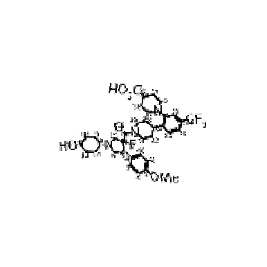 COc1ccc([C@@H]2CN([C@H]3CC[C@@H](O)CC3)C[C@@]2(F)C(=O)N2CCC(c3ccc(C(F)(F)F)cc3N3CCC(C(=O)O)CC3)CC2)cc1